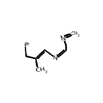 C=N/C=N\C=C(/C)CC(C)C